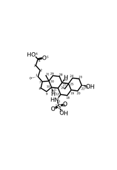 C[C@H](CCC(=O)O)C1CC[C@H]2C3C(NS(=O)(=O)O)CC4C[C@H](O)CCC4(C)[C@H]3CCC12C